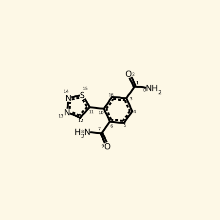 NC(=O)c1ccc(C(N)=O)c(-c2cnns2)c1